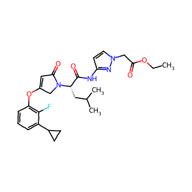 CCOC(=O)Cn1ccc(NC(=O)[C@H](CC(C)C)N2CC(Oc3cccc(C4CC4)c3F)=CC2=O)n1